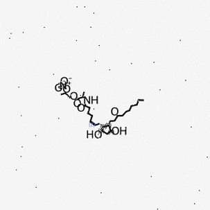 CCCCCCCC(=O)CC[C@@H]1[C@@H](C/C=C\CCCC(=O)NC(C)C(=O)OCC(C)O[N+](=O)[O-])[C@@H](O)C[C@H]1O